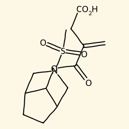 C=C(CC(=O)O)C(=O)OC1C2CCC1CN(S(C)(=O)=O)C2